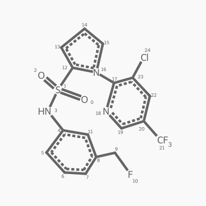 O=S(=O)(Nc1cccc(CF)c1)c1cccn1-c1ncc(C(F)(F)F)cc1Cl